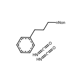 CCCCCCCCCCCCc1ccccc1.N=C=O.N=C=O